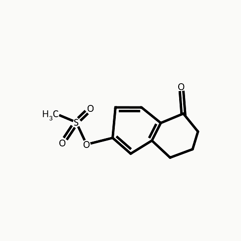 CS(=O)(=O)Oc1ccc2c(c1)CCCC2=O